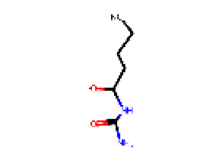 N#CCCCC([O])NC(N)=O